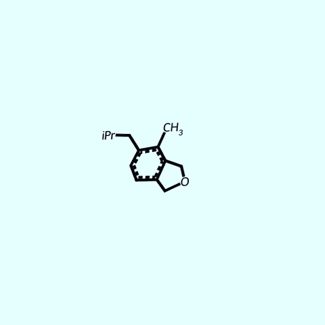 Cc1c(CC(C)C)ccc2c1COC2